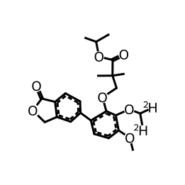 [2H]C([2H])Oc1c(OC)ccc(-c2ccc3c(c2)COC3=O)c1OCC(C)(C)C(=O)OC(C)C